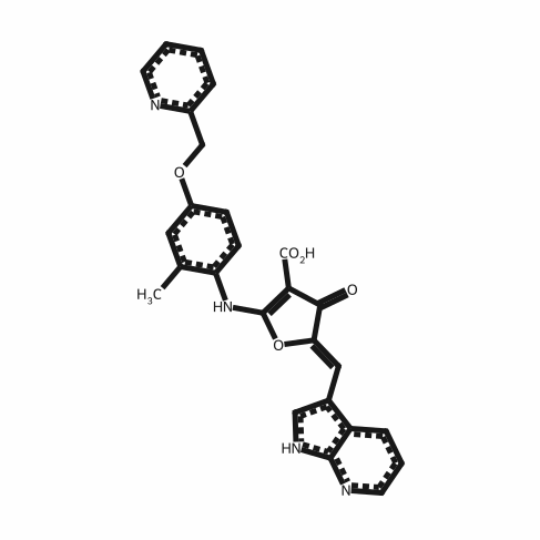 Cc1cc(OCc2ccccn2)ccc1NC1=C(C(=O)O)C(=O)C(=Cc2c[nH]c3ncccc23)O1